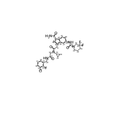 NC(=O)c1nn(CC(=O)N(CC(=O)NCc2cccc(Cl)c2F)C2CC2)c2cc(NC(=O)N3CCCC(F)(F)C3)ccc12